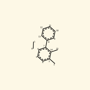 CC.Cc1cccc(-c2ccccc2)c1C